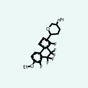 CCCC1CCC(c2ccc3c(c2F)C(F)(F)C(F)(F)c2c-3ccc(OCC)c2F)OC1